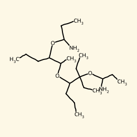 CCCC(OC(N)CC)C(C)OC(CCC)C(CC)(CC)OC(N)CC